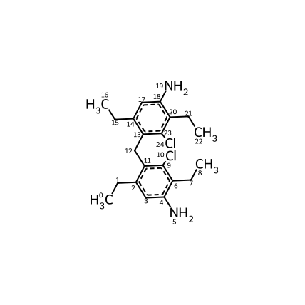 CCc1cc(N)c(CC)c(Cl)c1Cc1c(CC)cc(N)c(CC)c1Cl